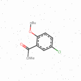 CCCCOc1ccc(Cl)cc1C(=O)OC